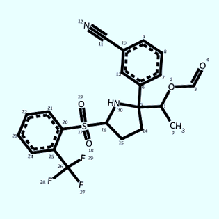 CC(OC=O)C1(c2cccc(C#N)c2)CCC(S(=O)(=O)c2ccccc2C(F)(F)F)N1